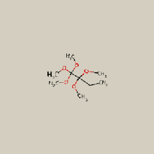 CCC(OC)(OC)C(OC)(OC)OC